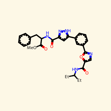 CCC(CC)NC(=O)c1cnc(-c2cccc(-c3cc(C(=O)NC(Cc4ccccc4)C(=O)OC)n[nH]3)c2)o1